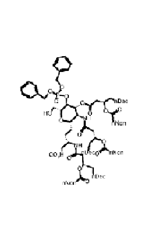 CCCCCCCCCCC[C@H](CC(=O)N[C@@H](CC[C@@H]1O[C@H](CO)[C@@H](OP(=O)(OCc2ccccc2)OCc2ccccc2)[C@H](OC(=O)C[C@@H](CCCCCCCCCCC)OC(=O)CCCCCCCCC)[C@H]1NC(=O)C[C@@H](CCCCCCCCCCC)OC(=O)CCCCCCCCC)CC(=O)O)OC(=O)CCCCCCCCC